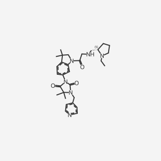 CCN1CCC[C@H]1CNCC(=O)N1CC(C)(C)c2ccc(N3C(=O)N(Cc4ccncc4)C(C)(C)C3=O)cc21